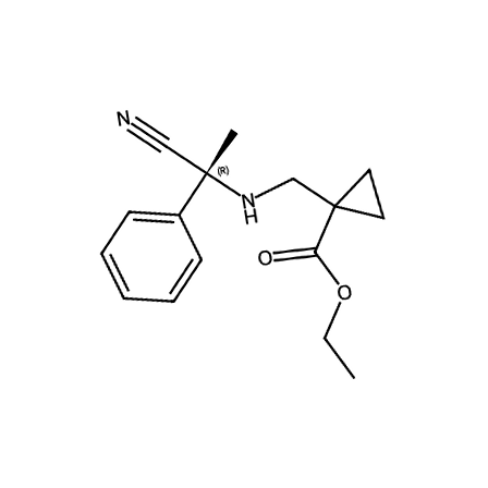 CCOC(=O)C1(CN[C@@](C)(C#N)c2ccccc2)CC1